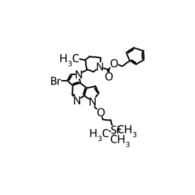 CC1CCN(C(=O)OCc2ccccc2)CC1n1cc(Br)c2cnc3c(ccn3COCC[Si](C)(C)C)c21